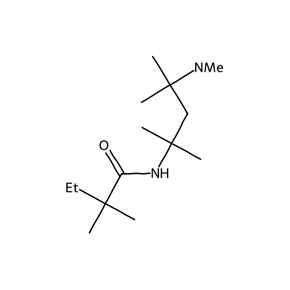 CCC(C)(C)C(=O)NC(C)(C)CC(C)(C)NC